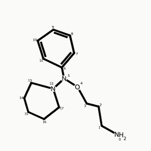 NCCCON(c1ccccc1)N1CCCCC1